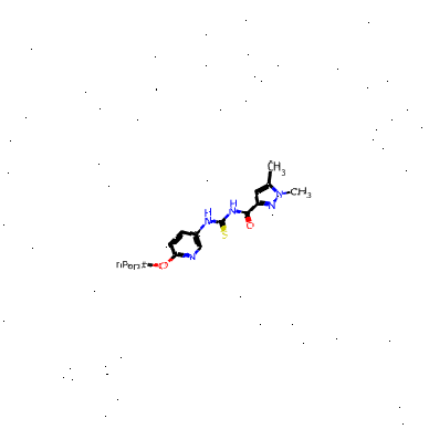 CCCCCOc1ccc(NC(=S)NC(=O)c2cc(C)n(C)n2)cn1